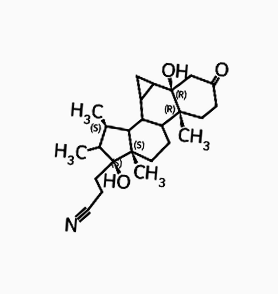 CC1[C@@H](C)C2C3C4CC4[C@]4(O)CC(=O)CC[C@]4(C)C3CC[C@]2(C)[C@]1(O)CCC#N